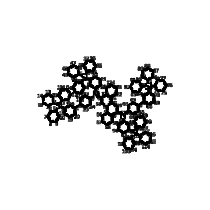 c1ccc([Si](c2ccccc2)(c2ccccc2)c2cccc(-c3ccc(N(c4cccc([Si](c5ccccc5)(c5ccccc5)c5ccccc5)c4)c4cc5c6ccccc6c(N(c6ccc(-c7cccc([Si](c8ccccc8)(c8ccccc8)c8ccccc8)c7)cc6)c6cccc([Si](c7ccccc7)(c7ccccc7)c7ccccc7)c6)cc5c5ccccc45)cc3)c2)cc1